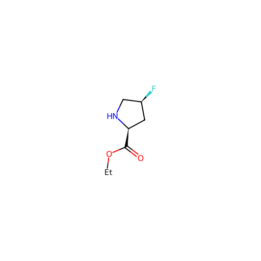 CCOC(=O)[C@@H]1C[C@H](F)CN1